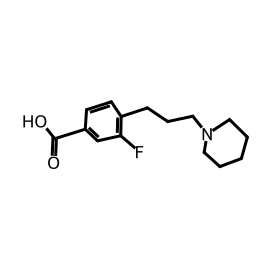 O=C(O)c1ccc(CCCN2CCCCC2)c(F)c1